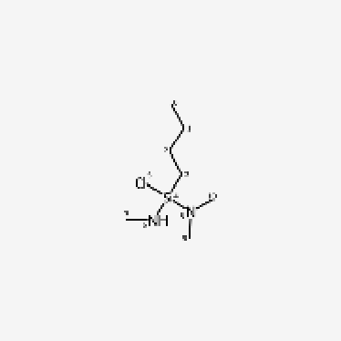 CCCC[Si](Cl)(NC)N(C)C